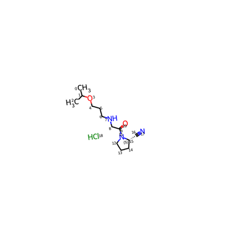 CC(C)OCCCNCC(=O)N1CCC[C@H]1C#N.Cl